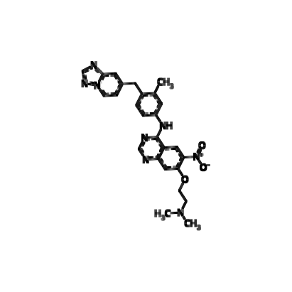 Cc1cc(Nc2ncnc3cc(OCCN(C)C)c([N+](=O)[O-])cc23)ccc1Cc1ccn2ncnc2c1